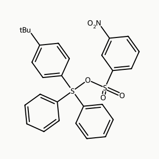 CC(C)(C)c1ccc(S(OS(=O)(=O)c2cccc([N+](=O)[O-])c2)(c2ccccc2)c2ccccc2)cc1